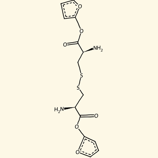 N[C@@H](CSSC[C@H](N)C(=O)Oc1ccco1)C(=O)Oc1ccco1